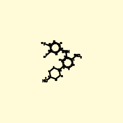 O=[N+]([O-])c1ccc(N2CCC(O)CC2)nc1Nc1ccc(F)c(F)c1